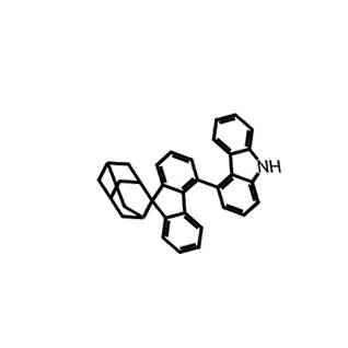 c1ccc2c(c1)-c1c(-c3cccc4[nH]c5ccccc5c34)cccc1C21C2CC3CC(C2)CC1C3